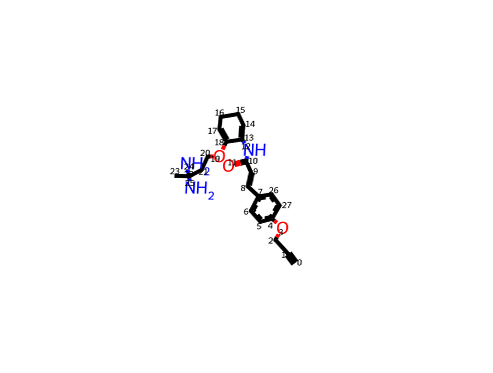 C#CCOc1ccc(/C=C/C(=O)NC2=CCCC=C2OCCC(C)(N)N)cc1